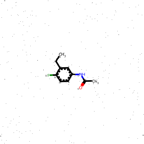 CCc1cc(NC(C)=O)ccc1F